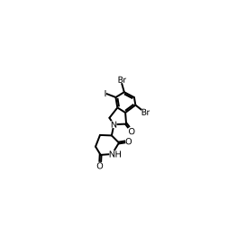 O=C1CCC(N2Cc3c(I)c(Br)cc(Br)c3C2=O)C(=O)N1